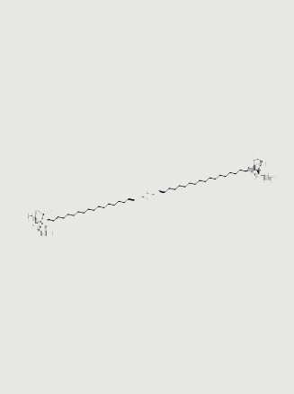 CCCO[Si](OCCC)(OCCC)[SiH2]CCCCCCCCCCCCCCCCC=CSSSSC=CCCCCCCCCCCCCCCCC[SiH2][Si](OCCC)(OCCC)OCCC